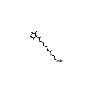 CCCCCCCCCCCCCCCCCCCC1=C(C)[N]C=C1